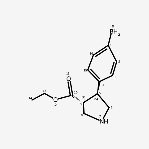 Bc1ccc([C@H]2CNC[C@@H]2C(=O)OCC)cc1